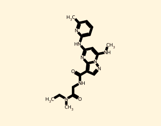 CCN(C)C(=O)CNC(=O)c1cnn2c(NC)cc(Nc3cccc(C)n3)nc12